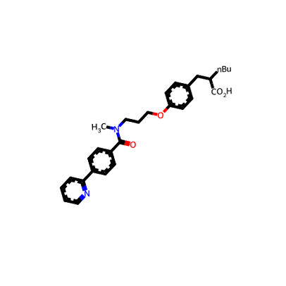 CCCCC(Cc1ccc(OCCCN(C)C(=O)c2ccc(-c3ccccn3)cc2)cc1)C(=O)O